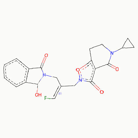 O=C1c2c(on(C/C(=C/F)CN3C(=O)c4ccccc4C3O)c2=O)CCN1C1CC1